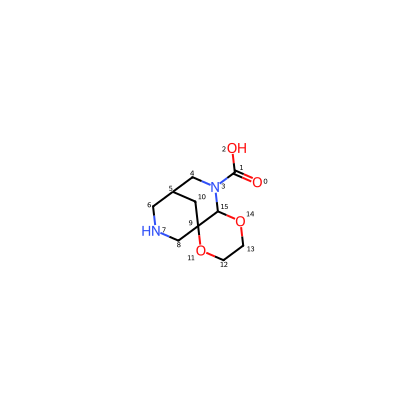 O=C(O)N1CC2CNCC3(C2)OCCOC13